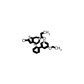 C=CC(=O)N1Cc2sc(Cl)cc2[C@@H](c2ccccc2-c2cncc(OCC)c2)C1